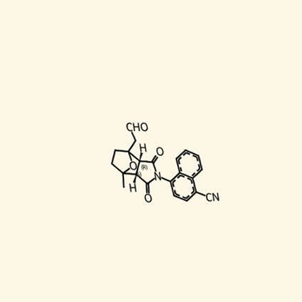 CC12CCC(CC=O)(O1)[C@@H]1C(=O)N(c3ccc(C#N)c4ccccc34)C(=O)[C@@H]12